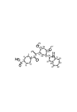 C=C(C(=O)c1ccc(C(=O)O)cc1)c1cc(-c2cc3ccccc3[nH]2)c(OC)cc1OC